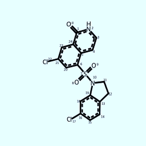 O=c1[nH]ccc2c(S(=O)(=O)N3CCc4ccc(Cl)cc43)cc(Cl)cc12